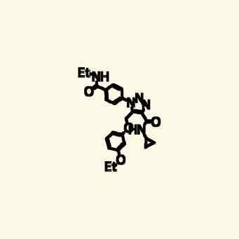 CCNC(=O)c1ccc(-n2nnc(C(=O)NC3CC3)c2COc2cccc(OCC)c2)cc1